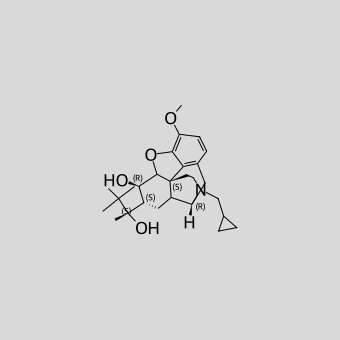 COc1ccc2c3c1OC1[C@H](O)[C@@H]([C@](C)(O)C(C)(C)C)CC4[C@@H](C2)N(CC2CC2)CC[C@@]341